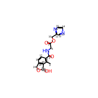 Cc1c(C(=O)NCC(=O)OCc2cnccn2)ccc2c1B(O)OC2